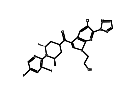 C[C@@H]1CC(C(=O)c2cn(CCO)c3nc(-n4nccn4)c(Cl)cc23)C[C@@H](C)N1c1ncc(F)cc1I